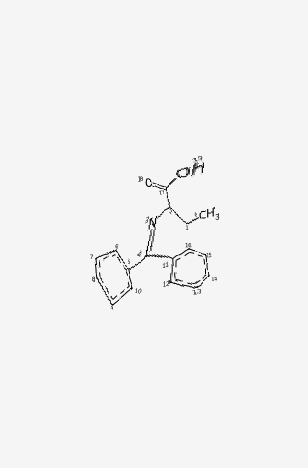 CCC(N=C(c1ccccc1)c1ccccc1)C(=O)O